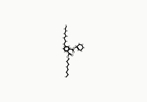 CCCCCCCCOC(=O)c1ccc(CCCCCCCC)cc1C(=O)OC1=CCCCC1